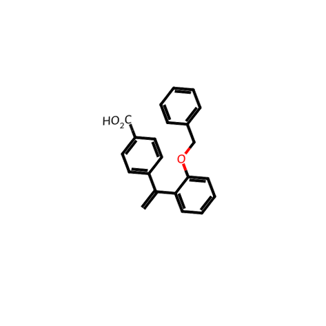 C=C(c1ccc(C(=O)O)cc1)c1ccccc1OCc1ccccc1